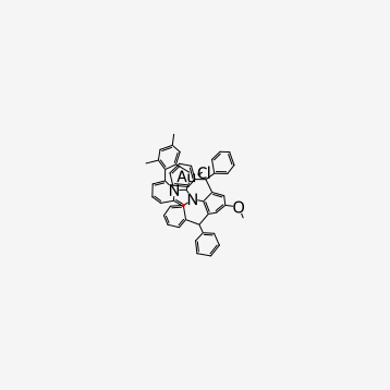 COc1cc(C(c2ccccc2)c2ccccc2)c(N2C=C3C=CC=C(c4c(C)cc(C)cc4C)N3[CH]2[Au-][Cl])c(C(c2ccccc2)c2ccccc2)c1